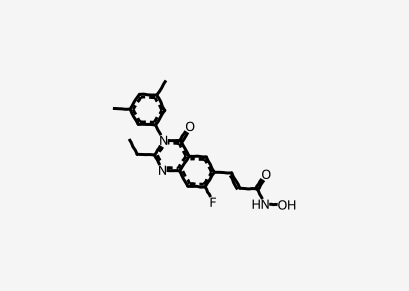 CCc1nc2cc(F)c(/C=C/C(=O)NO)cc2c(=O)n1-c1cc(C)cc(C)c1